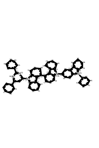 c1ccc(-c2cc(-n3c4ccccc4c4c(-c5cccc6c5c5ccccc5n6-c5ccc6c(c5)c5ccccc5n6-c5ccccc5)cccc43)nc(-c3ccccc3)n2)cc1